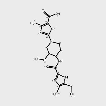 CCc1[nH]c(C(=O)NC2CCN(c3nc(C)c(C(=O)O)s3)CC2OC)nc1C